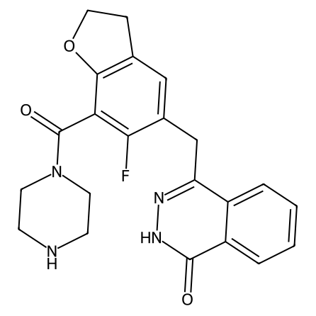 O=C(c1c(F)c(Cc2n[nH]c(=O)c3ccccc23)cc2c1OCC2)N1CCNCC1